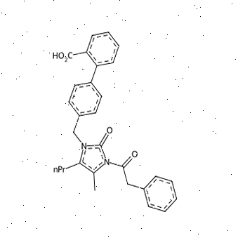 CCCc1c(C)n(C(=O)Cc2ccccc2)c(=O)n1Cc1ccc(-c2ccccc2C(=O)O)cc1